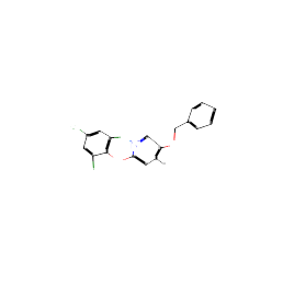 CCc1cc(Oc2c(Cl)cc(Br)cc2Cl)ncc1OCc1ccccc1